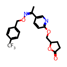 CC(=NOCc1ccc(C(F)(F)F)cc1)c1ccc(OCC2CCC(=O)O2)nc1